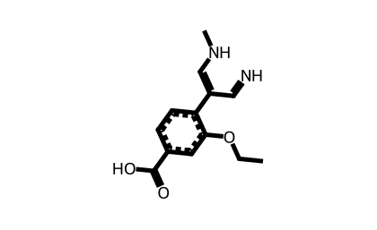 CCOc1cc(C(=O)O)ccc1/C(C=N)=C/NC